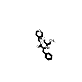 CCC(CC)NC(Cc1ccccc1)C(=O)OCC1CCOCC1